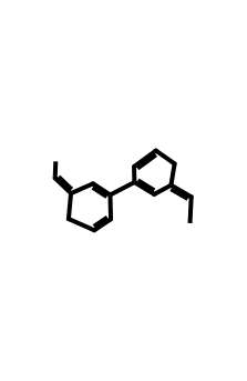 CC=C1C=C(C2=CC(=CC)CC=C2)C=CC1